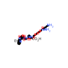 CCc1c2c(nc3ccccc13)-c1cc3c(c(=O)n1C2)COC(=O)[C@@]3(CC)OC(=O)[C@H](C)NC(=O)[C@@H]1CCCN1C(=O)[C@H](CC(=O)O)NC(=O)CCOCCOCCOCCNC(=O)[C@@H](N)CCCCN